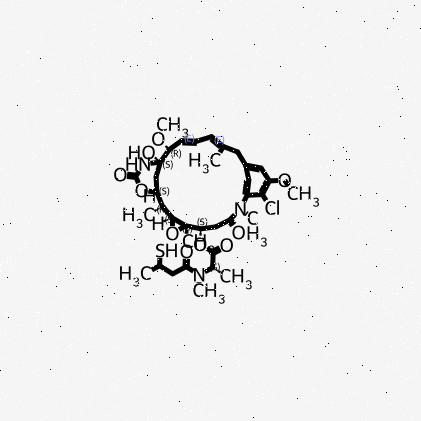 COc1cc2cc(c1Cl)N(C)C(=O)C[C@H](OC(=O)[C@H](C)N(C)C(=O)CC(C)S)[C@]1(C)O[C@H]1[C@H](C)[C@@H]1C[C@@](O)(NC(=O)O1)[C@H](OC)/C=C/C=C(\C)C2